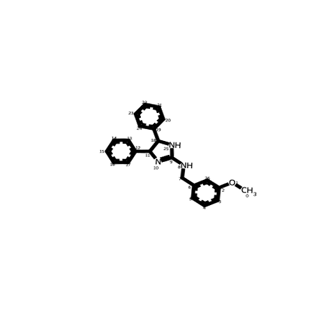 COc1cccc(CNC2=NC(c3ccccc3)C(c3ccccc3)N2)c1